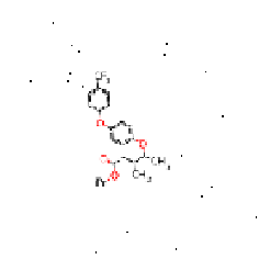 CC(C)OC(=O)CC(C)C(C)Oc1ccc(Oc2ccc(C(F)(F)F)cc2)cc1